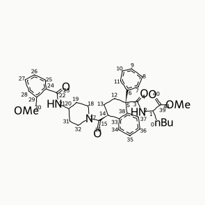 CCCCC(NC(=O)[C@@]1(c2ccccc2)CC[C@H](C(=O)N2CCC(NC(=O)c3ccccc3OC)CC2)c2ccccc21)C(=O)OC